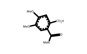 CNC(=O)c1cc(OC)c(OC)cc1C(=O)O